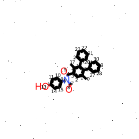 Cc1cc(C(=O)N(C=O)c2ccc(O)cc2)c(C)c(-c2ccccc2)c1-c1ccccc1